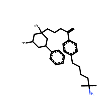 C=C(CCCC1(CCC)CC(CCC)CC(c2ccccc2)C1)c1ccc(CCCCC(C)(C)N)cc1